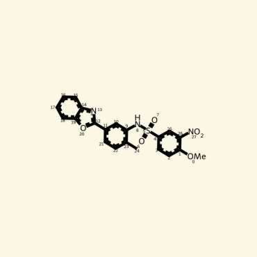 COc1ccc(S(=O)(=O)Nc2cc(-c3nc4ccccc4o3)ccc2C)cc1[N+](=O)[O-]